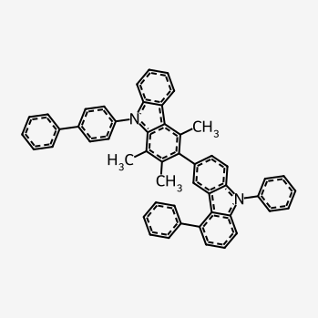 Cc1c(-c2ccc3c(c2)c2c(-c4ccccc4)cccc2n3-c2ccccc2)c(C)c2c3ccccc3n(-c3ccc(-c4ccccc4)cc3)c2c1C